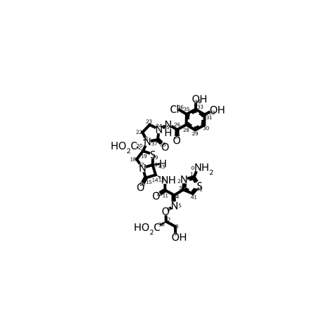 Nc1nc(/C(=N/O[C@@H](CO)C(=O)O)C(=O)N[C@@H]2C(=O)N3C[C@@](C(=O)O)(N4CCN(NC(=O)c5ccc(O)c(O)c5Cl)C4=O)S[C@H]23)cs1